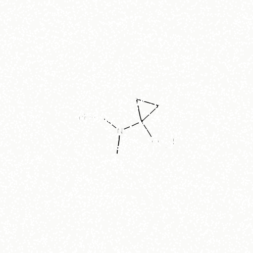 CCCCCN(C)C1(C(=O)O)CC1